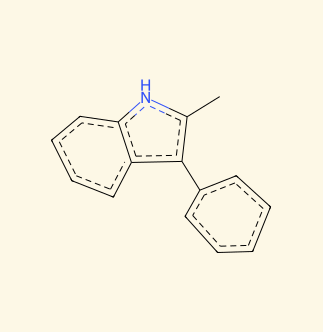 Cc1[nH]c2ccccc2c1-c1ccccc1